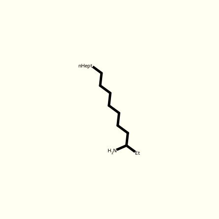 CCCCCCCCCCCCCCC(N)CC